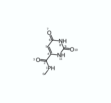 CPC(=O)c1cc(=O)[nH]c(=O)[nH]1